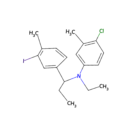 CCC(c1ccc(C)c(I)c1)N(CC)c1ccc(Cl)c(C)c1